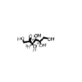 [2H][C@](O)(C(=O)CO)[C@H](O)[C@H](O)CO